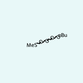 CCCCOCCOCCOCCOCCSC